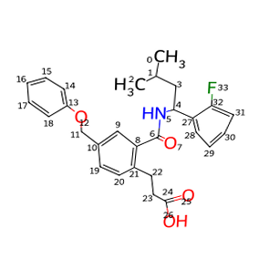 CC(C)CC(NC(=O)c1cc(COc2ccccc2)ccc1CCC(=O)O)c1ccccc1F